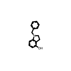 Oc1cccc2c1CCN2Cc1ccccc1